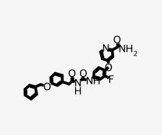 NC(=O)c1cc(Oc2ccc(NC(=O)NC(=O)Cc3cccc(OCc4ccccc4)c3)cc2F)ccn1